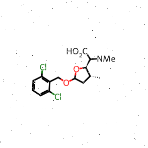 CNC(C(=O)O)[C@@H]1OC(OCc2c(Cl)cccc2Cl)C[C@H]1C